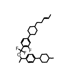 C/C=C/CCC1CCC(c2ccc(C(F)(F)OC(C)c3ccc(C4CCC(C)CC4)cc3)c(F)c2)CC1